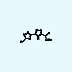 COC(=O)c1nnc(-c2nc(C(C)C)ns2)[nH]1